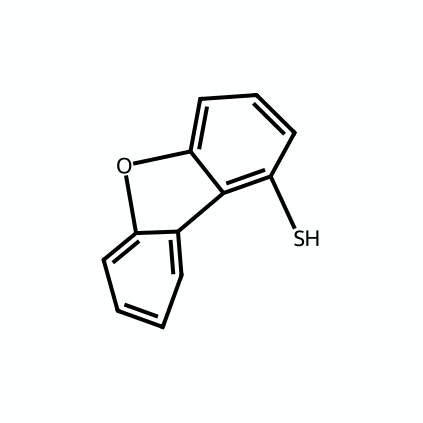 Sc1cccc2oc3ccccc3c12